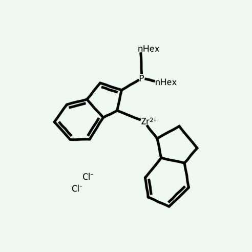 CCCCCCP(CCCCCC)C1=Cc2ccccc2[CH]1[Zr+2][CH]1CCC2C=CC=CC21.[Cl-].[Cl-]